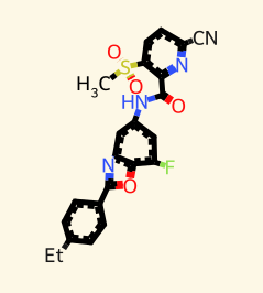 CCc1ccc(-c2nc3cc(NC(=O)c4nc(C#N)ccc4S(C)(=O)=O)cc(F)c3o2)cc1